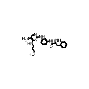 Bc1cnc(Nc2cccc(NC(=O)C(N)Cc3ccccc3)c2)nc1NCCCO